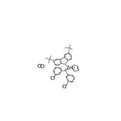 CC(C)(C)c1ccc2c(c1)-c1cc(C(C)(C)C)ccc1[CH]2[Zr+2]([C]1=CC=CC1)=[C](c1cccc(Cl)c1)c1cccc(Cl)c1.[Cl-].[Cl-]